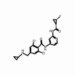 O=C(Nc1ccnc(NC(=O)[C@H]2C[C@H]2F)c1)c1c(Cl)cc(CNC2CC2)cc1Cl